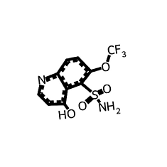 NS(=O)(=O)c1c(OC(F)(F)F)ccc2nccc(O)c12